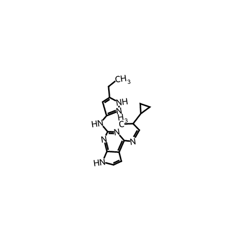 CCc1cc(Nc2nc(/N=C\C(C)C3CC3)c3cc[nH]c3n2)n[nH]1